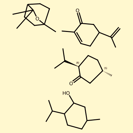 C=C(C)C1CC=C(C)C(=O)C1.CC(C)[C@H]1CC[C@H](C)CC1=O.CC12CCC(CC1)C(C)(C)O2.CC1CCC(C(C)C)C(O)C1